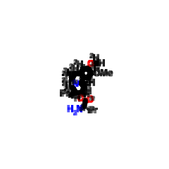 [2H]c1c(OC([2H])([2H])[2H])c(OC)c([2H])c2c1C([2H])([2H])C([2H])([2H])N1C([2H])([2H])C([2H])(CC(C)C)C([2H])(OC(=O)[C@@H](N)C(C)C)C([2H])([2H])C21[2H]